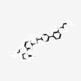 C=CC(=O)Nc1cccc(-c2cnc(C(C)Nc3nccc(N4C(=O)OC[C@@H]4C(C)C)n3)nc2)c1